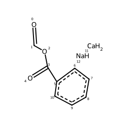 O=COC(=O)c1ccccc1.[CaH2].[NaH]